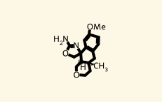 COc1ccc2c(c1)C1(COC(N)=N1)[C@@H]1COCC[C@@]1(C)C2